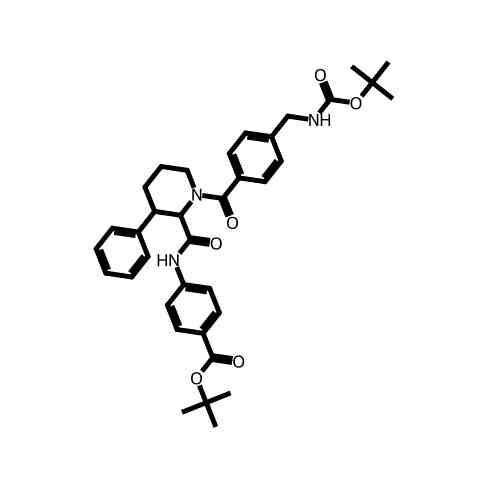 CC(C)(C)OC(=O)NCc1ccc(C(=O)N2CCCC(c3ccccc3)C2C(=O)Nc2ccc(C(=O)OC(C)(C)C)cc2)cc1